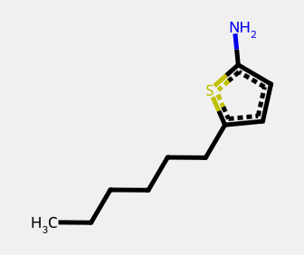 CCCCCCc1ccc(N)s1